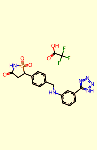 O=C(O)C(F)(F)F.O=C1CC(c2ccc(CNc3cccc(-c4nnn[nH]4)c3)cc2)S(=O)(=O)N1